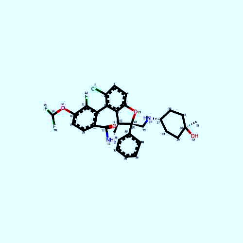 C[C@H]1c2c(ccc(Cl)c2-c2c(C(N)=O)ccc(OC(F)F)c2F)O[C@]1(CN[C@H]1CC[C@](C)(O)CC1)c1ccccc1